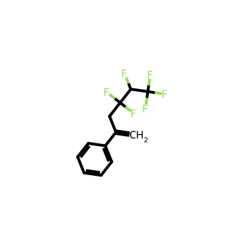 C=C(CC(F)(F)C(F)C(F)(F)F)c1ccccc1